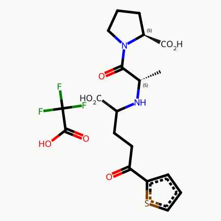 C[C@H](NC(CCC(=O)c1cccs1)C(=O)O)C(=O)N1CCC[C@H]1C(=O)O.O=C(O)C(F)(F)F